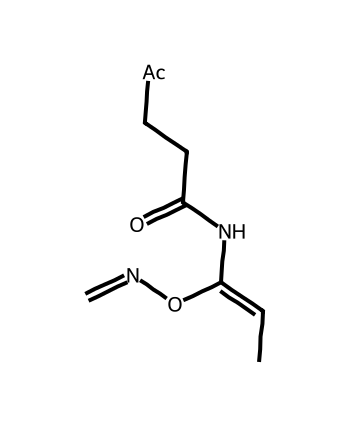 C=NO/C(=C\C)NC(=O)CCC(C)=O